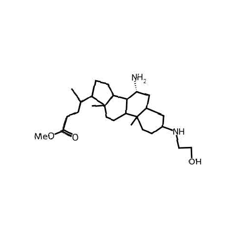 COC(=O)CCC(C)C1CCC2C3C(CCC12C)C1(C)CCC(NCCO)CC1C[C@H]3N